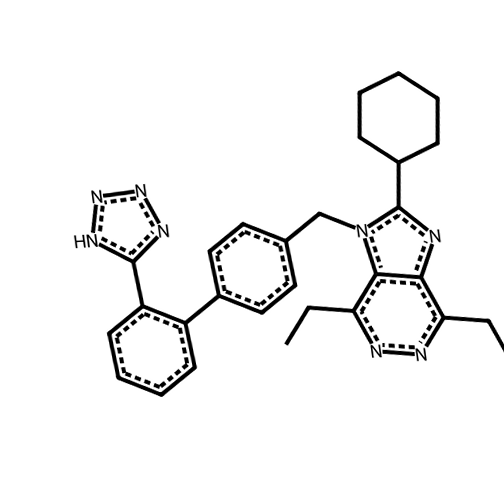 CCc1nnc(CC)c2c1nc(C1CCCCC1)n2Cc1ccc(-c2ccccc2-c2nnn[nH]2)cc1